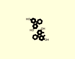 Cc1cc(C2(c3ccc(O)c(C)c3)CCCCC2)ccc1O.Oc1ccc(C2(c3ccc(O)cc3)CCCCC2)cc1